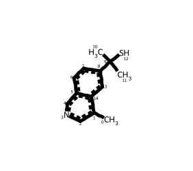 Cc1cncc2ccc(C(C)(C)S)cc12